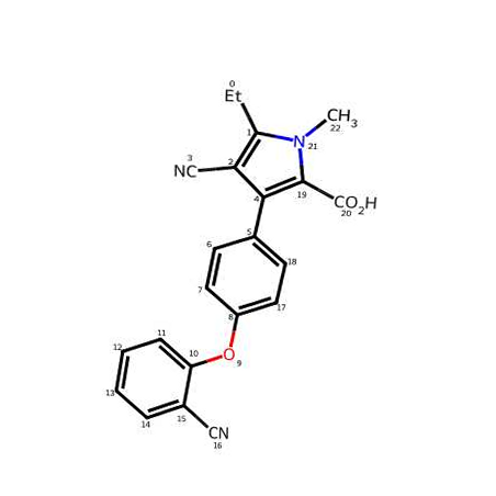 CCc1c(C#N)c(-c2ccc(Oc3ccccc3C#N)cc2)c(C(=O)O)n1C